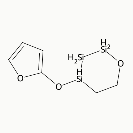 c1coc(O[SiH]2CCO[SiH2][SiH2]2)c1